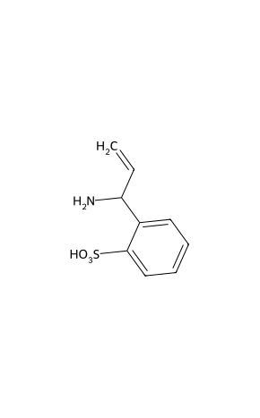 C=CC(N)c1ccccc1S(=O)(=O)O